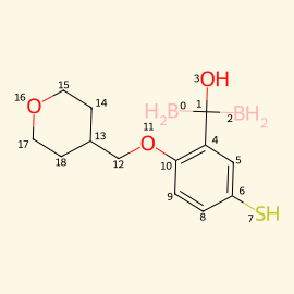 BC(B)(O)c1cc(S)ccc1OCC1CCOCC1